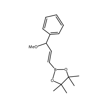 COC(C=CB1OC(C)(C)C(C)(C)O1)c1ccccc1